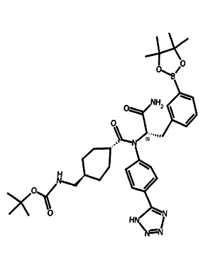 CC(C)(C)OC(=O)NC[C@H]1CC[C@H](C(=O)N(c2ccc(-c3nnn[nH]3)cc2)[C@@H](Cc2cccc(B3OC(C)(C)C(C)(C)O3)c2)C(N)=O)CC1